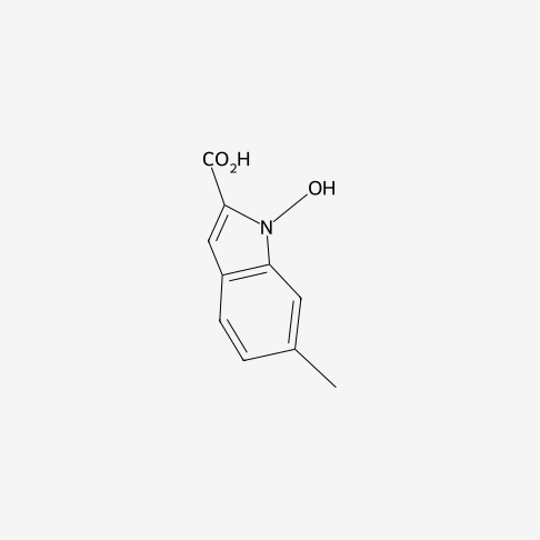 Cc1ccc2cc(C(=O)O)n(O)c2c1